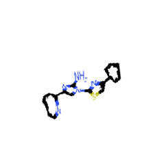 Nc1nc(-c2ccccn2)cn1-c1nc(-c2ccccc2)cs1